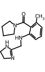 Cc1cccc(NCC2=NCCN2)c1C(=O)N1CCCC1